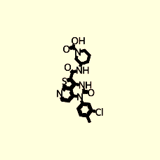 Cc1ccc(N2C(=O)Nc3c(C(=O)NC4CCCN(C(=O)O)C4)sc4nccc2c34)cc1Cl